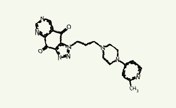 Cc1cc(N2CCN(CCCn3nnc4c3C(=O)c3cncnc3C4=O)CC2)ccn1